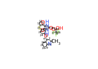 Cc1cc(COc2ccc(Sc3ccoc3C3NC(=O)NC3=O)cc2)c2ccccc2n1.O=C(O)C(F)(F)F